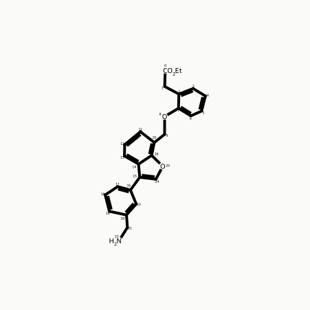 CCOC(=O)Cc1ccccc1OCc1cccc2c(-c3cccc(CN)c3)coc12